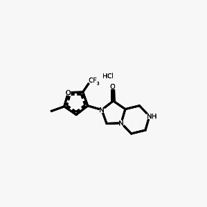 Cc1cc(N2CN3CCNCC3C2=O)c(C(F)(F)F)o1.Cl